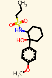 CCCS(=O)(=O)NC1CCCCC1(O)c1ccc(OC)cc1